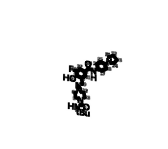 CC(C)(C)NC(=O)N1CCN(/N=C/c2cc(C(=O)Nc3ccc(N4CCCC4)cc3)cc(F)c2O)CC1